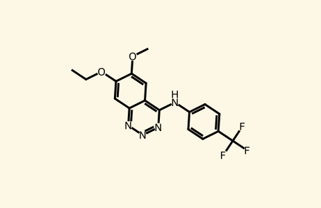 CCOc1cc2nnnc(Nc3ccc(C(F)(F)F)cc3)c2cc1OC